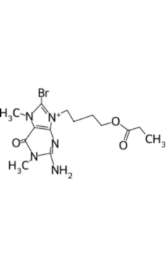 CCC(=O)OCCCC[n+]1c(Br)n(C)c2c(=O)n(C)c(N)nc21